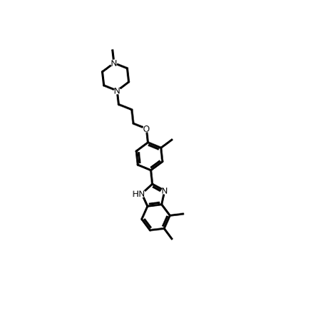 Cc1cc(-c2nc3c(C)c(C)ccc3[nH]2)ccc1OCCCN1CCN(C)CC1